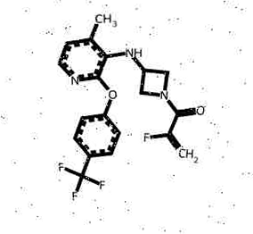 C=C(F)C(=O)N1CC(Nc2c(C)ccnc2Oc2ccc(C(F)(F)F)cc2)C1